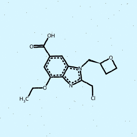 CCOc1cc(C(=O)O)cc2c1nc(CCl)n2C[C@@H]1CCO1